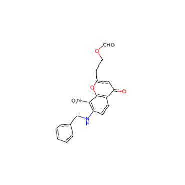 O=COCCc1cc(=O)c2ccc(NCc3ccccc3)c([N+](=O)[O-])c2o1